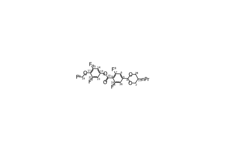 CCCC1COC(c2cc(F)c(C(=O)Oc3cc(F)c(OCF)c(F)c3)c(F)c2)OC1